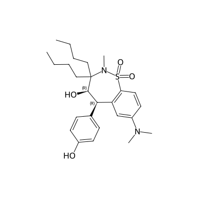 CCCCC1(CCCC)[C@H](O)[C@H](c2ccc(O)cc2)c2cc(N(C)C)ccc2S(=O)(=O)N1C